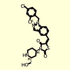 O=C1SC(=Cc2ccc3c(cnn3Cc3ccc(Cl)cc3C(F)(F)F)c2)C(=O)N1[C@@H]1CCN[C@@H](CO)C1